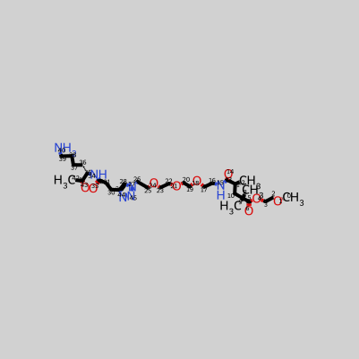 COCCOC(=O)C(C)(C)CC(C)C(=O)NCCOCCOCCOCCn1cc(CCC(=O)N[C@@H](CCCCN)C(C)=O)nn1